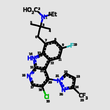 CCN(C(=O)O)C(C)(C)Cc1cc(F)cc2c1[nH]c1ncc(Cl)c(-n3ccc(C(F)(F)F)n3)c12